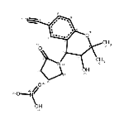 CC1(C)Oc2ccc(C#N)cc2C(N2CCCC2=O)C1O.O=[N+]([O-])O